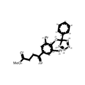 COC(=O)CCC(=O)c1cc(C(C)C)c(OC2(c3ccccc3)N=NN=N2)c(C(C)C)c1